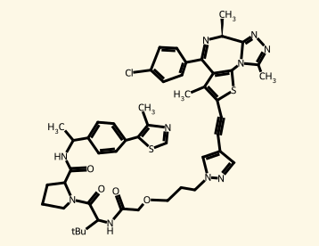 Cc1ncsc1-c1ccc(C(C)NC(=O)C2CCCN2C(=O)C(NC(=O)COCCCn2cc(C#Cc3sc4c(c3C)C(c3ccc(Cl)cc3)=N[C@@H](C)c3nnc(C)n3-4)cn2)C(C)(C)C)cc1